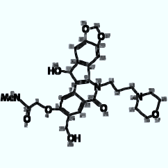 CNC(=O)COc1cc2c3c(n(CCCN4CCOCC4)c(=O)c2cc1CO)-c1cc2c(cc1C3O)OCO2